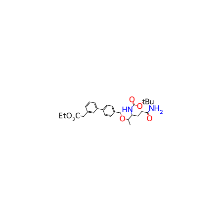 CCOC(=O)Cc1cccc(-c2ccc(COC(C)C(CCC(N)=O)NC(=O)OC(C)(C)C)cc2)c1